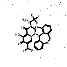 C[C@@H](N1CN([C@@H]2c3ccccc3SCc3cccc(Cl)c32)n2cc(C(F)F)c(=O)c(O)c2C1=O)C(F)(F)F